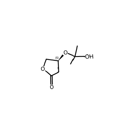 CC(C)(O)O[C@@H]1COC(=O)C1